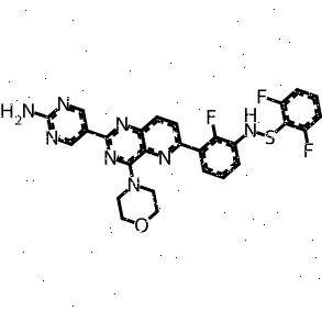 Nc1ncc(-c2nc(N3CCOCC3)c3nc(-c4cccc(NSc5c(F)cccc5F)c4F)ccc3n2)cn1